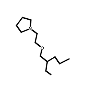 CCCC(CC)COCCN1CCCC1